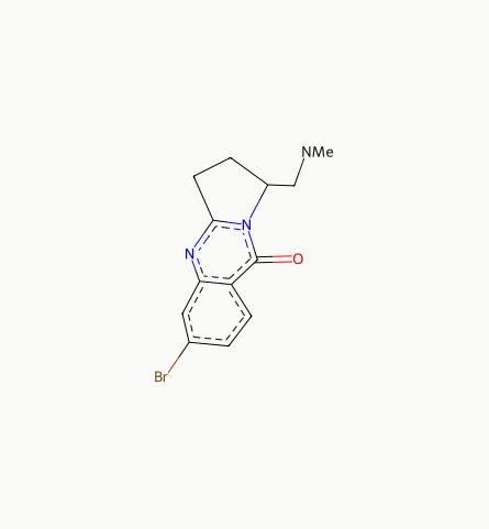 CNCC1CCc2nc3cc(Br)ccc3c(=O)n21